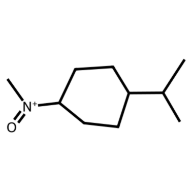 CC(C)C1CCC([N+](C)=O)CC1